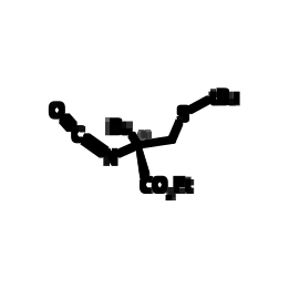 CCOC(=O)[C@@](CSC(C)(C)C)(N=C=O)C(C)CC